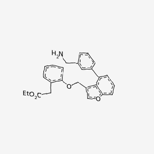 CCOC(=O)Cc1ccccc1OCc1coc2cccc(-c3cccc(CN)c3)c12